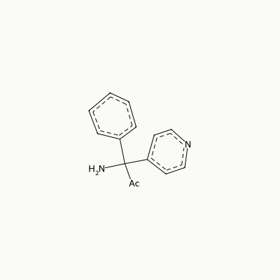 CC(=O)C(N)(c1ccccc1)c1ccncc1